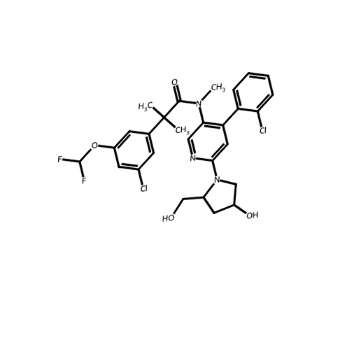 CN(C(=O)C(C)(C)c1cc(Cl)cc(OC(F)F)c1)c1cnc(N2CC(O)CC2CO)cc1-c1ccccc1Cl